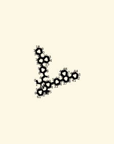 C=Cc1c(/C=C(\C)c2ccc(-c3ccc(-c4ccccc4)c4ccccc34)cc2)c2cc(-c3ccc(-c4ccc(-c5ccccc5)c5ccccc45)cc3)cc3c2n1-c1ccccc1C3(C)C